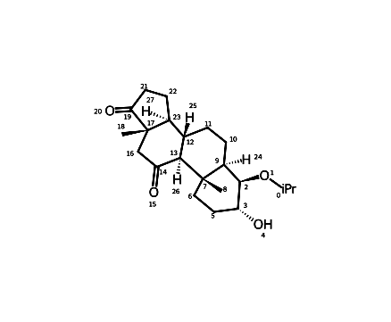 CC(C)O[C@H]1[C@H](O)CC[C@@]2(C)[C@H]1CC[C@@H]1[C@@H]2C(=O)C[C@]2(C)C(=O)CC[C@@H]12